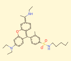 CCCCCNS(=O)(=O)c1ccc(C2=c3cc/c(=C(/C)NCC)cc3Oc3cc(N(CC)CC)ccc32)c(C)c1